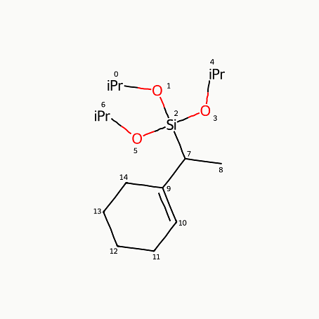 CC(C)O[Si](OC(C)C)(OC(C)C)C(C)C1=CCCCC1